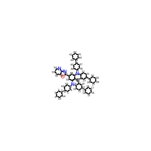 c1ccc(-c2ccc(N3c4ccc(-c5ccccc5)cc4B4c5cc(-c6ccccc6)ccc5N(c5ccc(-c6ccccc6)cc5)c5cc(-c6nc7ncccc7o6)cc3c54)cc2)cc1